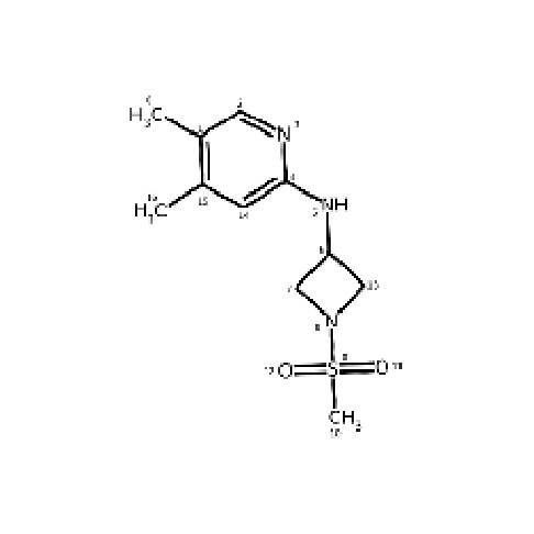 Cc1cnc(NC2CN(S(C)(=O)=O)C2)cc1C